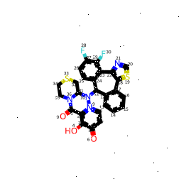 O=C1c2c(O)c(=O)ccn2N(C2c3ccccc3-c3scnc3-c3c2ccc(F)c3F)C2CSCCN12